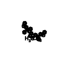 CC1(C)c2cc(N(c3ccccc3)c3ccc4c(c3)oc3ccccc34)ccc2-c2cc3c4ccccc4c(N(c4ccccc4)c4ccc5c(c4)oc4ccccc45)cc3c3cccc1c23